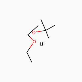 CC(C)(C)[O-].CCOCC.[Li+]